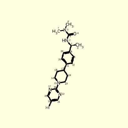 C[C@H](NC(=O)N(C)C)c1ccc(C2CCN(c3ncc(I)cn3)CC2)cc1